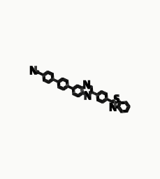 N#Cc1ccc(-c2ccc(-c3ccc4nc(-c5ccc(-c6nc7ccccc7s6)cc5)cnc4c3)cc2)cc1